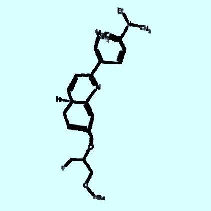 C=C(/C=C\C(=C/C)C1=NC2=CC(OC(CF)COCCCC)=CC[C@H]2C=C1)N(C)CC